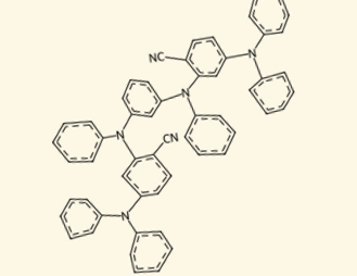 N#Cc1ccc(N(c2ccccc2)c2ccccc2)cc1N(c1ccccc1)c1cccc(N(c2ccccc2)c2cc(N(c3ccccc3)c3ccccc3)ccc2C#N)c1